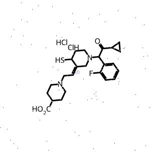 Cl.Cl.O=C(O)C1CCN(C/C=C2/CN(C(C(=O)C3CC3)c3ccccc3F)CCC2S)CC1